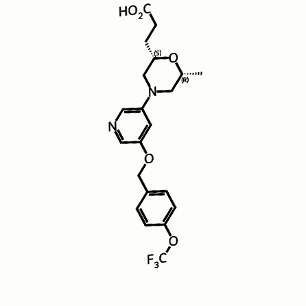 C[C@@H]1CN(c2cncc(OCc3ccc(OC(F)(F)F)cc3)c2)C[C@H](CCC(=O)O)O1